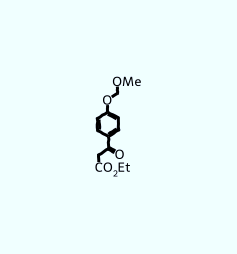 CCOC(=O)CC(=O)c1ccc(OCOC)cc1